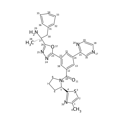 Cc1csc([C@H]2CCCN2C(=O)c2cc(-c3cnccn3)cc(-c3nnc([C@@](C)(N)Cc4ccccc4)o3)c2)n1